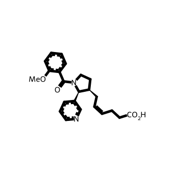 COc1ccccc1C(=O)N1CC[C@@H](C/C=C\CCC(=O)O)[C@H]1c1cccnc1